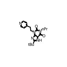 CCCn1c(=O)c2[nH]c(C(C)(C)C)nc2n(CCc2ccncc2)c1=O